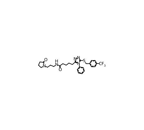 O=C(CCCCc1nnc(SCc2ccc(C(F)(F)F)cc2)n1-c1ccccc1)NCCCN1CCCC1=O